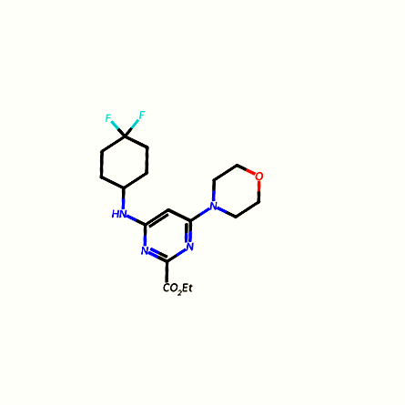 CCOC(=O)c1nc(NC2CCC(F)(F)CC2)cc(N2CCOCC2)n1